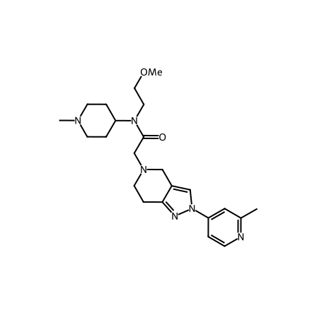 COCCN(C(=O)CN1CCc2nn(-c3ccnc(C)c3)cc2C1)C1CCN(C)CC1